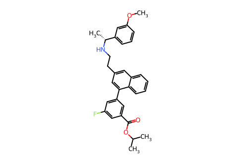 COc1cccc([C@@H](C)NCCc2cc(-c3cc(F)cc(C(=O)OC(C)C)c3)c3ccccc3c2)c1